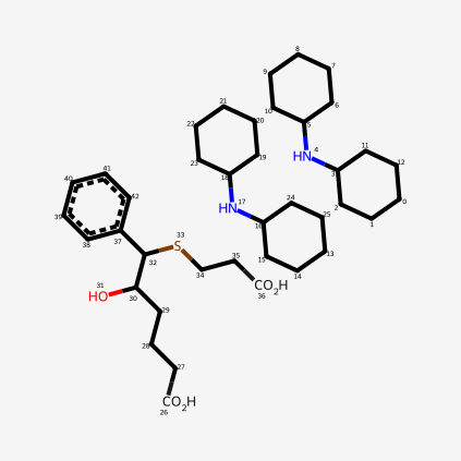 C1CCC(NC2CCCCC2)CC1.C1CCC(NC2CCCCC2)CC1.O=C(O)CCCC(O)C(SCCC(=O)O)c1ccccc1